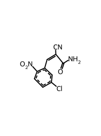 N#C/C(=C/c1cc(Cl)ccc1[N+](=O)[O-])C(N)=O